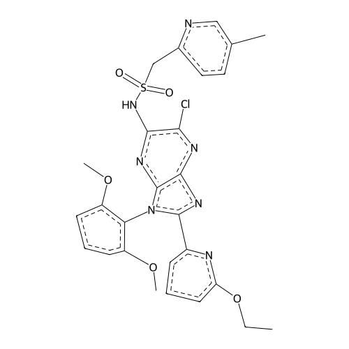 CCOc1cccc(-c2nc3nc(Cl)c(NS(=O)(=O)Cc4ccc(C)cn4)nc3n2-c2c(OC)cccc2OC)n1